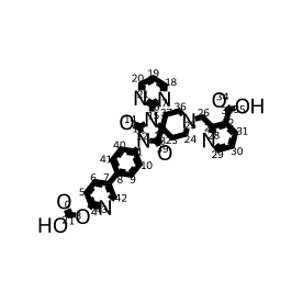 O=C(O)Oc1ccc(-c2ccc(N3C(=O)N(c4ncccn4)C4(CCN(Cc5ncccc5C(=O)O)CC4)C3=O)cc2)cn1